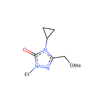 CCn1nc(COC)n(C2CC2)c1=O